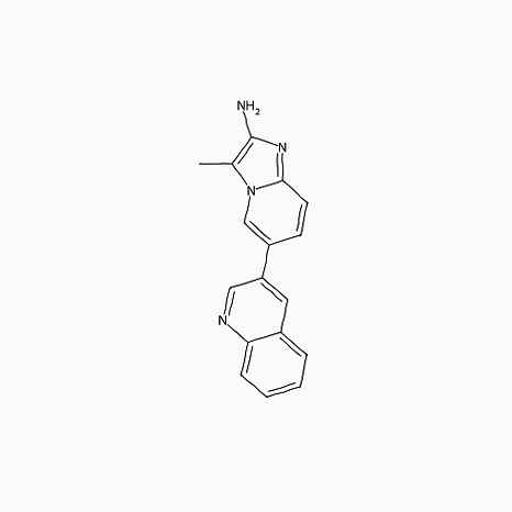 Cc1c(N)nc2ccc(-c3cnc4ccccc4c3)cn12